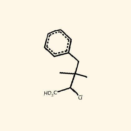 CC(C)(Cc1ccccc1)C(Cl)C(=O)O